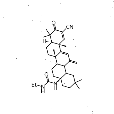 C=C1C=C2[C@@]3(C)C=C(C#N)C(=O)C(C)(C)[C@@H]3CC[C@@]2(C)[C@]2(C)CC[C@@]3(NC(=O)NCC)CCC(C)(C)CC3C12